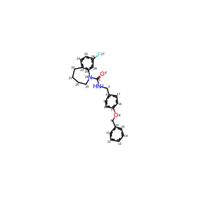 O=C(NCc1ccc(OCc2ccccc2)cc1)N1CCCCc2ccc(F)cc21